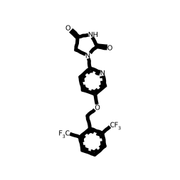 O=C1CN(c2ccc(OCc3c(C(F)(F)F)cccc3C(F)(F)F)cn2)C(=O)N1